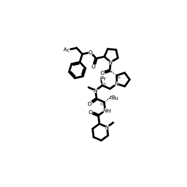 CC(=O)CC(OC(=O)C1CCCN1C(=O)[C@@H]1CCCN1C[C@H](C(C)C)N(C)C(=O)[C@@H](NC(=O)C1CCCCN1C)C(C)(C)C)c1ccccc1